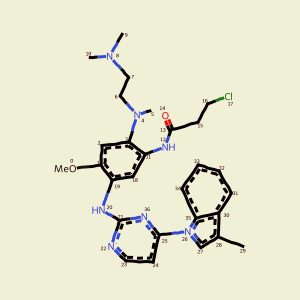 COc1cc(N(C)CCN(C)C)c(NC(=O)CCCl)cc1Nc1nccc(-n2cc(C)c3ccccc32)n1